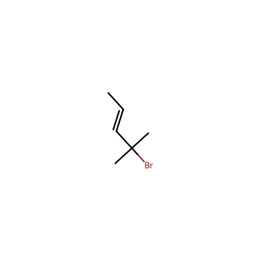 C/C=C/C(C)(C)Br